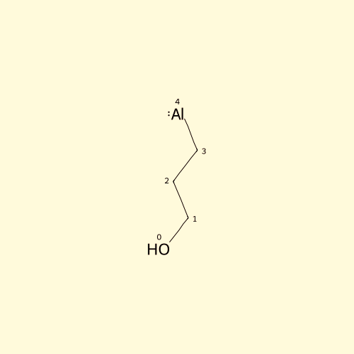 OCC[CH2][Al]